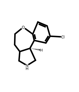 Clc1ccc2c(c1)[C@H]1CNCC1CCO2